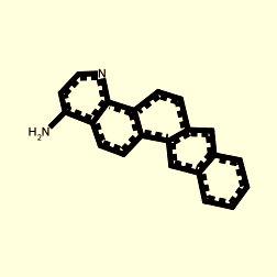 Nc1ccnc2c1ccc1c3cc4ccccc4cc3ccc12